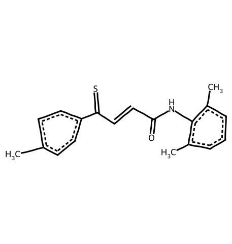 Cc1ccc(C(=S)C=CC(=O)Nc2c(C)cccc2C)cc1